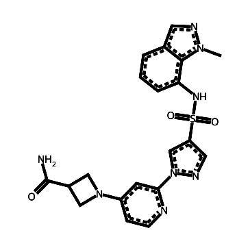 Cn1ncc2cccc(NS(=O)(=O)c3cnn(-c4cc(N5CC(C(N)=O)C5)ccn4)c3)c21